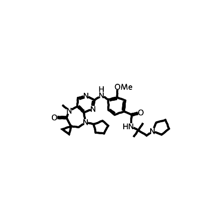 COc1cc(C(=O)NC(C)(C)CN2CCCC2)ccc1Nc1ncc2c(n1)N(C1CCCC1)CC1(CC1)C(=O)N2C